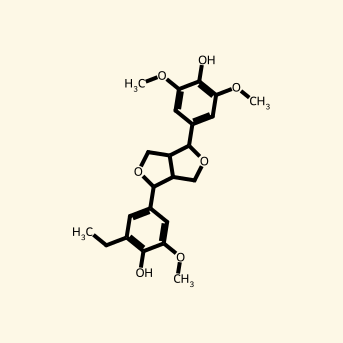 CCc1cc(C2OCC3C(c4cc(OC)c(O)c(OC)c4)OCC23)cc(OC)c1O